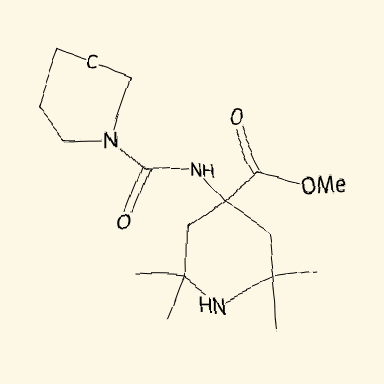 COC(=O)C1(NC(=O)N2CCCCC2)CC(C)(C)NC(C)(C)C1